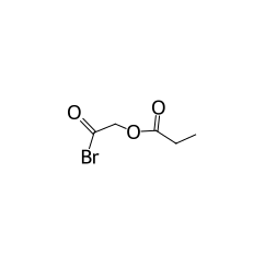 CCC(=O)OCC(=O)Br